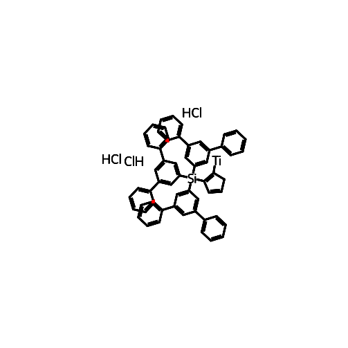 Cl.Cl.Cl.[Ti][C]1=C([Si](c2cc(-c3ccccc3)cc(-c3ccccc3)c2)(c2cc(-c3ccccc3)cc(-c3ccccc3)c2)c2cc(-c3ccccc3)cc(-c3ccccc3)c2)C=CC1